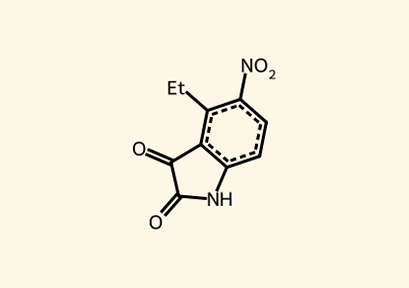 CCc1c([N+](=O)[O-])ccc2c1C(=O)C(=O)N2